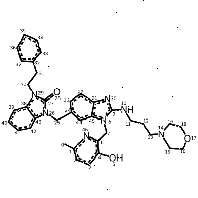 Cc1ccc(O)c(Cn2c(NCCCN3CCOCC3)nc3ccc(Cn4c(=O)n(CCc5ccccc5)c5ccccc54)cc32)n1